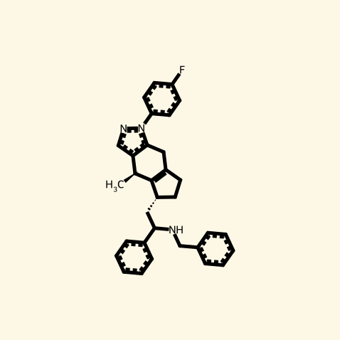 C[C@@H]1C2=C(CC[C@@H]2CC(NCc2ccccc2)c2ccccc2)Cc2c1cnn2-c1ccc(F)cc1